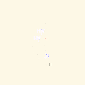 Cc1nc2cc(NC(=O)NCC3CC3)ccc2s1